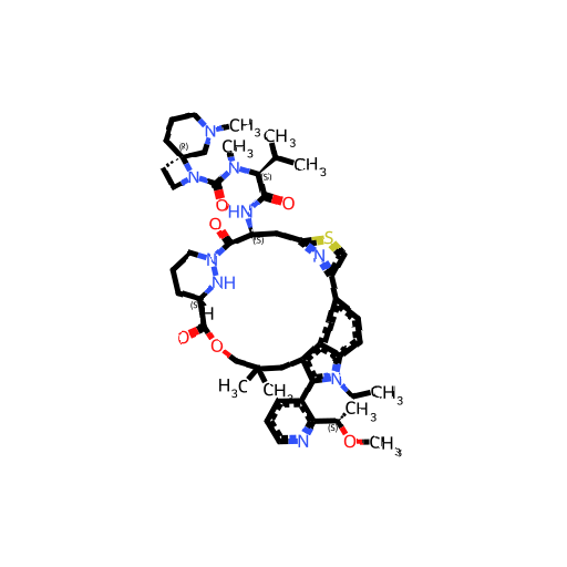 CCn1c(-c2cccnc2[C@H](C)OC)c2c3cc(ccc31)-c1csc(n1)C[C@H](NC(=O)[C@H](C(C)C)N(C)C(=O)N1CC[C@@]13CCCN(C)C3)C(=O)N1CCC[C@H](N1)C(=O)OCC(C)(C)C2